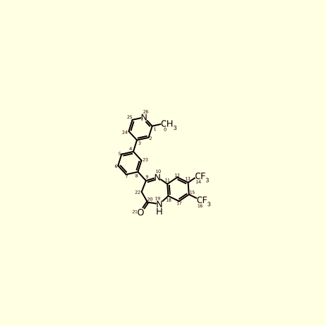 Cc1cc(-c2cccc(C3=Nc4cc(C(F)(F)F)c(C(F)(F)F)cc4NC(=O)C3)c2)ccn1